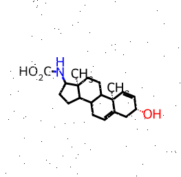 C[C@]12CCC3C(CC=C4C[C@@H](O)C=C[C@@]43C)C1CCC2NC(=O)O